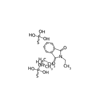 CC.CC.CCN1C(=O)c2ccccc2C1=O.OP(O)(O)=S.OP(O)(O)=S